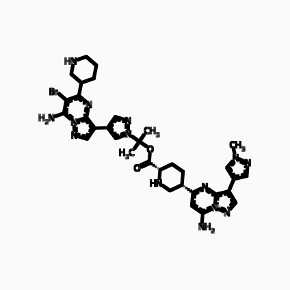 Cn1cc(-c2cnn3c(N)cc([C@H]4CC[C@@H](C(=O)OC(C)(C)n5cc(-c6cnn7c(N)c(Br)c(C8CCCNC8)nc67)cn5)NC4)nc23)cn1